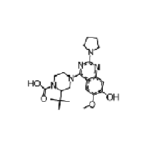 COc1cc2c(N3CCN(C(=O)O)C(C(C)(C)C)C3)nc(N3CCCC3)nc2cc1O